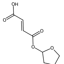 O=C(O)C=CC(=O)OC1CCCO1